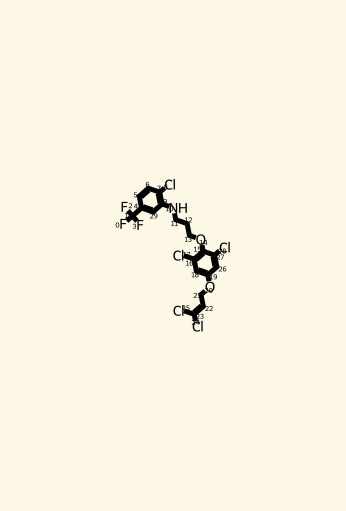 FC(F)(F)c1ccc(Cl)c(NCCCOc2c(Cl)cc(OCC=C(Cl)Cl)cc2Cl)c1